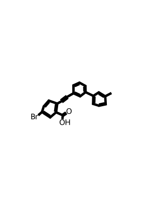 Cc1cccc(-c2cccc(C#Cc3ccc(Br)cc3C(=O)O)c2)c1